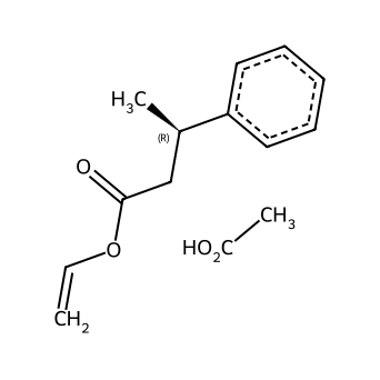 C=COC(=O)C[C@@H](C)c1ccccc1.CC(=O)O